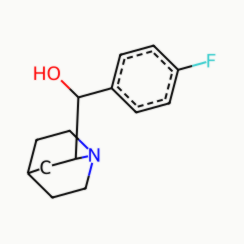 OC(c1ccc(F)cc1)C1CC2CCN1CC2